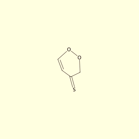 S=C1C=COOC1